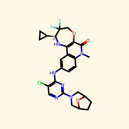 Cn1c(=O)c2c(c3cc(Nc4nc(N5CC6CCC(C5)O6)ncc4Cl)ccc31)N[C@@H](C1CC1)C(F)(F)CO2